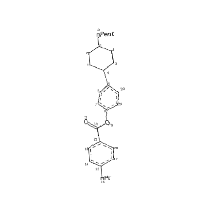 CCCCCC1CCC(c2ccc(OC(=O)c3ccc(CCC)cc3)cc2)CC1